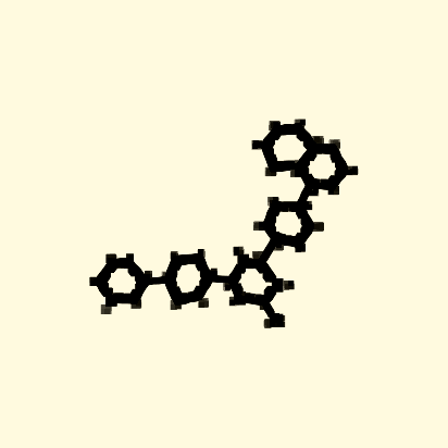 CCc1nc(-c2ccc(-c3cccnc3)cc2)nc(-c2ccc(-c3cccc4ccccc34)cc2)n1